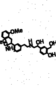 COc1cccc(OC)c1CC(C(N)=O)c1cccc(CCNC[C@@H](O)c2ccc(O)c(CO)c2)c1